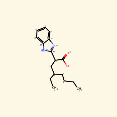 CCCCC(CC)CC(C(=O)O)c1nc2ccccc2[nH]1